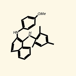 COc1ccc(Nc2ccc3ccccc3c2Nc2c(C)cc(C)cc2C)cc1